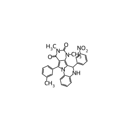 Cc1cccc(-c2c3c(=O)n(C)c(=O)n(C)c3c3n2-c2ccccc2NC3c2cccc([N+](=O)[O-])c2)c1